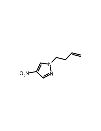 C=CCCn1cc([N+](=O)[O-])cn1